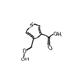 O=C(O)c1cscc1COO